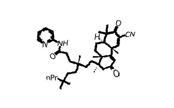 CCCC(C)(C)CC[C@](C)(CCC(=O)Nc1ccccn1)CC[C@]1(C)CC(=O)C=C2[C@@]3(C)C=C(C#N)C(=O)C(C)(C)[C@@H]3CC[C@]21C